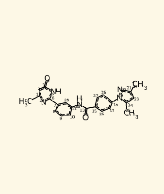 Cc1cc(=O)[nH]c(-c2cccc(NC(=O)c3ccc(-n4nc(C)cc4C)cc3)c2)n1